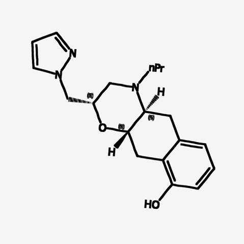 CCCN1C[C@@H](Cn2cccn2)O[C@H]2Cc3c(O)cccc3C[C@@H]21